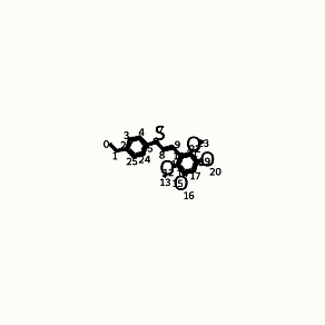 CCc1ccc(C(=S)C=Cc2c(OC)c(OC)cc(OC)c2OC)cc1